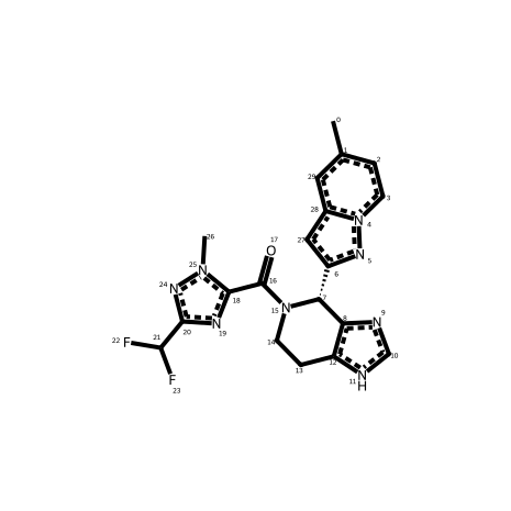 Cc1ccn2nc([C@@H]3c4nc[nH]c4CCN3C(=O)c3nc(C(F)F)nn3C)cc2c1